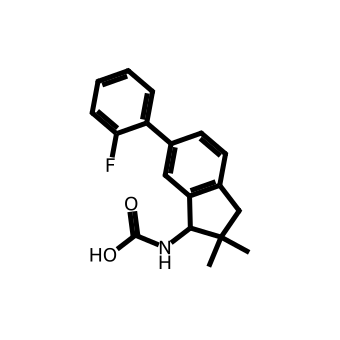 CC1(C)Cc2ccc(-c3ccccc3F)cc2C1NC(=O)O